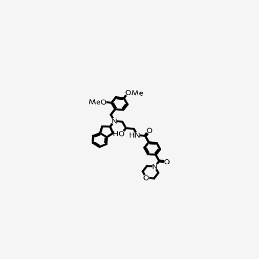 COc1ccc(CN(CC(O)CNC(=O)c2ccc(C(=O)N3CCOCC3)cc2)C2Cc3ccccc3C2)c(OC)c1